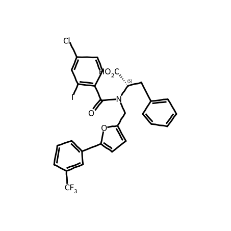 O=C(O)[C@H](Cc1ccccc1)N(Cc1ccc(-c2cccc(C(F)(F)F)c2)o1)C(=O)c1ccc(Cl)cc1I